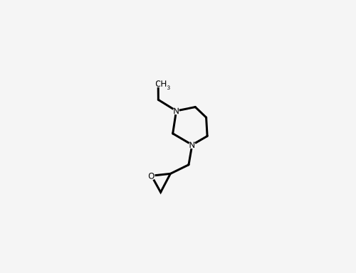 CCN1CCCN(CC2CO2)C1